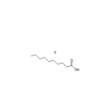 CCCCCCCCCC(=O)O.[V]